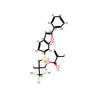 C=C(C)C(=O)OCC(C)(CSc1ccc2cc(-c3ccccc3)oc2c1)C(F)(F)F